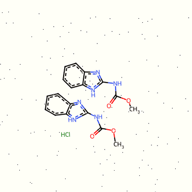 COC(=O)Nc1nc2ccccc2[nH]1.COC(=O)Nc1nc2ccccc2[nH]1.Cl